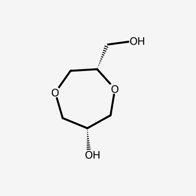 OC[C@H]1COC[C@@H](O)CO1